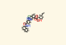 C#Cc1cccc(C(Oc2ccc(Cl)c(Cn3nnc4cc(C(=O)NC5CCCc6ccccc65)ccc43)c2)C(=O)O)c1